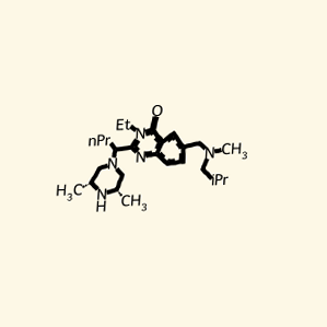 CCCC(c1nc2ccc(CN(C)CC(C)C)cc2c(=O)n1CC)N1C[C@@H](C)N[C@@H](C)C1